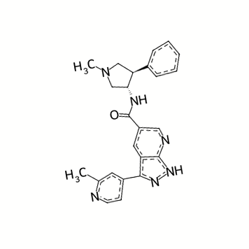 Cc1cc(-c2n[nH]c3ncc(C(=O)N[C@@H]4CN(C)C[C@H]4c4ccccc4)cc23)ccn1